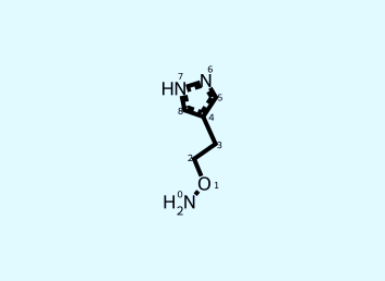 NOCCc1cn[nH]c1